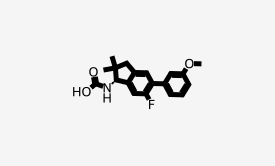 COc1cccc(-c2cc3c(cc2F)[C@H](NC(=O)O)C(C)(C)C3)c1